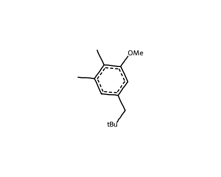 COc1cc(CC(C)(C)C)cc(C)c1C